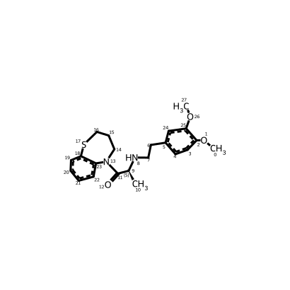 COc1ccc(CCN[C@@H](C)C(=O)N2CCCSc3ccccc32)cc1OC